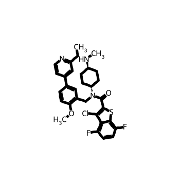 CCc1cc(-c2ccc(OC)c(CN(C(=O)c3sc4c(F)ccc(F)c4c3Cl)[C@H]3CC[C@H](NC)CC3)c2)ccn1